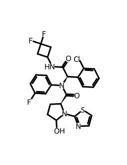 O=C(NC1CC(F)(F)C1)[C@@H](c1ccccc1Cl)N(C(=O)[C@@H]1CCC(O)N1c1nccs1)c1cccc(F)c1